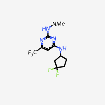 CNNc1nc(NC2CCC(F)(F)C2)cc(C(F)(F)F)n1